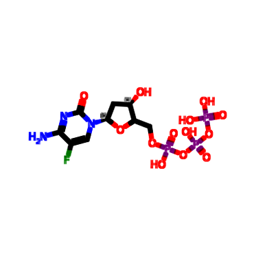 Nc1nc(=O)n([C@H]2C[C@@H](O)C(COP(=O)(O)OP(=O)(O)OP(=O)(O)O)O2)cc1F